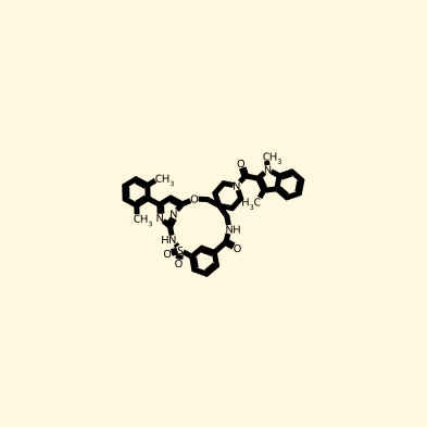 Cc1cccc(C)c1-c1cc2nc(n1)NS(=O)(=O)c1cccc(c1)C(=O)NCC1(CCN(C(=O)c3c(C)c4ccccc4n3C)CC1)CO2